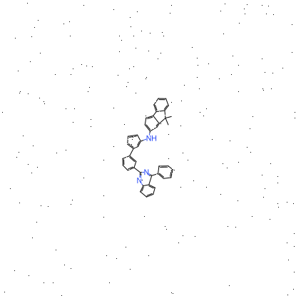 CC1(C)c2ccccc2-c2ccc(Nc3cccc(-c4cccc(-c5nc(-c6ccccc6)c6ccccc6n5)c4)c3)cc21